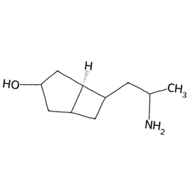 CC(N)CC1CC2CC(O)C[C@@H]12